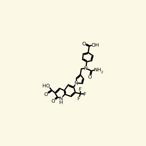 NC(=O)N(Cc1ccn(-c2cc3cc(C(=O)O)c(=O)[nH]c3cc2C(F)(F)F)c1)c1ccc(C(=O)O)cc1